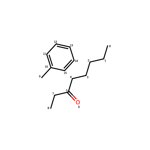 CCCCCC(=O)CC.Cc1ccccc1